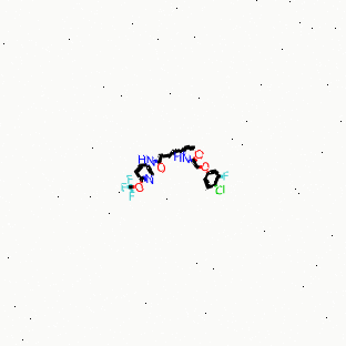 C=CC(CCCC(=O)Nc1ccc(OC(F)(F)F)nc1)NC(=O)COc1ccc(Cl)c(F)c1